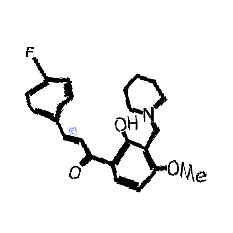 COc1ccc(C(=O)/C=C/c2ccc(F)cc2)c(O)c1CN1CCCCC1